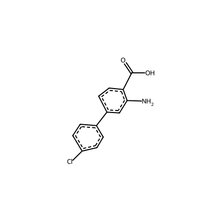 Nc1cc(-c2ccc(Cl)cc2)ccc1C(=O)O